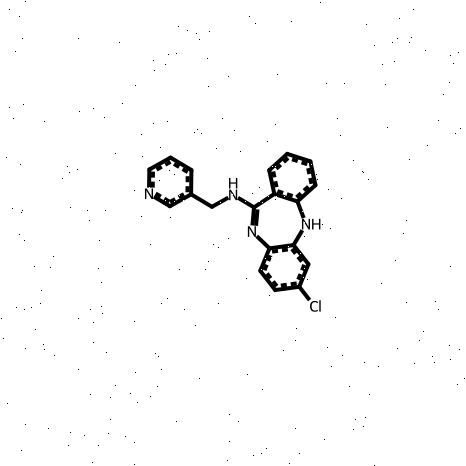 Clc1ccc2c(c1)Nc1ccccc1C(NCc1cccnc1)=N2